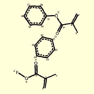 C=C(C)C(=O)OF.C=C(C)C(=O)Oc1ccccc1.c1ccccc1